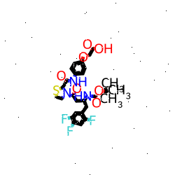 CC(C)(C)OC(=O)NC(CC(=O)N1CCSC1C(=O)Nc1ccc(OCC(=O)O)cc1)Cc1cc(F)c(F)cc1F